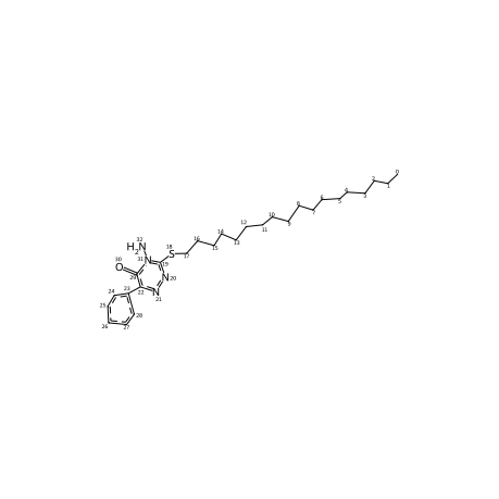 CCCCCCCCCCCCCCCCCCSc1nnc(-c2ccccc2)c(=O)n1N